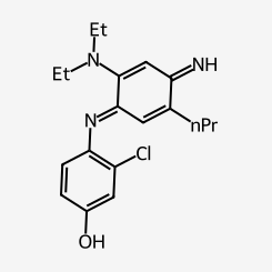 CCCC1=C/C(=N\c2ccc(O)cc2Cl)C(N(CC)CC)=CC1=N